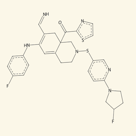 N=CC1=C(Nc2ccc(F)cc2)C=C2CCN(Sc3ccc(N4CCC(F)C4)nc3)CC2(C(=O)c2nccs2)C1